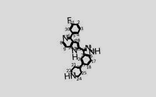 Fc1cccc(-c2nccc3[nH]c(-c4n[nH]c5ccc(C6CCNCC6)cc45)cc23)c1